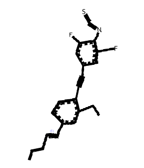 CCC/C=C/c1ccc(C#Cc2cc(F)c(N=C=S)c(F)c2)c(CC)c1